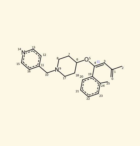 C=C(C)/C=C(/OC1CCN(Cc2ccncc2)CC1)c1ccccc1C